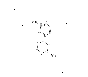 C[C@@H]1CCCN(c2ccnc([N+](=O)[O-])c2)C1